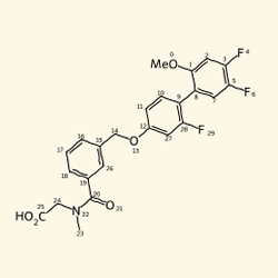 COc1cc(F)c(F)cc1-c1ccc(OCc2cccc(C(=O)N(C)CC(=O)O)c2)cc1F